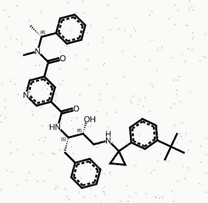 C[C@H](c1ccccc1)N(C)C(=O)c1cncc(C(=O)N[C@@H](Cc2ccccc2)[C@H](O)CNC2(c3cccc(C(C)(C)C)c3)CC2)c1